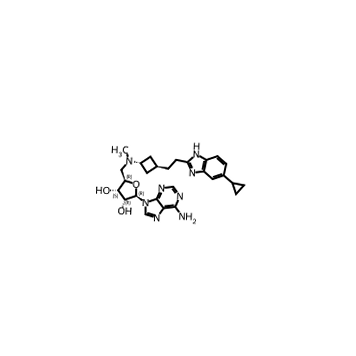 CN(C[C@H]1O[C@@H](n2cnc3c(N)ncnc32)[C@H](O)[C@@H]1O)[C@H]1C[C@H](CCc2nc3cc(C4CC4)ccc3[nH]2)C1